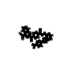 CC(C)c1ccc(NCc2ccccc2CCN[C@H]2CC[C@@H](Nc3nc(N(C)C)c4ccccc4n3)CC2)cc1